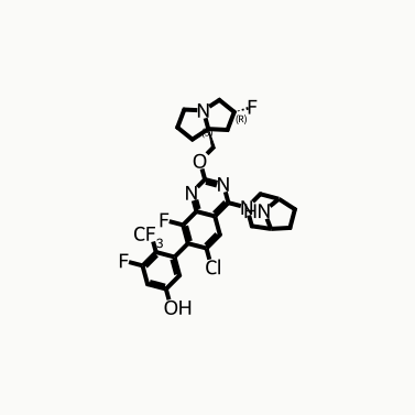 Oc1cc(F)c(C(F)(F)F)c(-c2c(Cl)cc3c(N4CC5CCC(C4)N5)nc(OC[C@@]45CCCN4C[C@H](F)C5)nc3c2F)c1